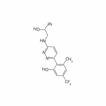 Cc1cc(C(F)(F)F)cc(O)c1-c1ccc(NCC(O)C(C)C)nn1